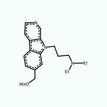 CCN(CC)CCCn1c2cnccc2c2ccc(COC)cc21